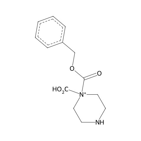 O=C(O)[N+]1(C(=O)OCc2ccccc2)CCNCC1